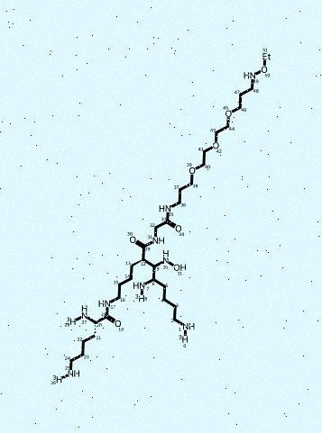 [3H]NCCCCC(N[3H])C(NO)[C@@H](CCCCNC(=O)[C@H](CCCCN[3H])N[3H])C(=O)NCC(=O)NCCCOCCOCCOCCCNOCC